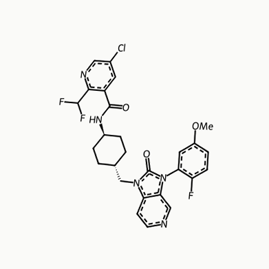 COc1ccc(F)c(-n2c(=O)n(C[C@H]3CC[C@H](NC(=O)c4cc(Cl)cnc4C(F)F)CC3)c3ccncc32)c1